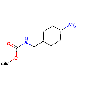 CCCCOC(=O)NCC1CCC(N)CC1